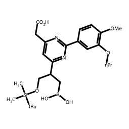 CCCOc1cc(-c2nc(CC(=O)O)cc(C(CO[Si](C)(C)C(C)(C)C)CB(O)O)n2)ccc1OC